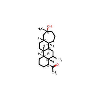 CC(=O)[C@H]1CCC[C@H]2[C@@H]3CC[C@@H]4C[C@](C)(O)CCC[C@@H]4[C@H]3CC(C)[C@@H]21